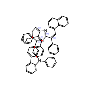 CC1C/C=C(\C(=C\c2ccccc2)c2ccccc2)/N=C(/C(=C\c2cccc3ccccc23)c2ccccc2)\N=C/1c1ccc2c3ccccc3n(-c3ccccc3)c2c1